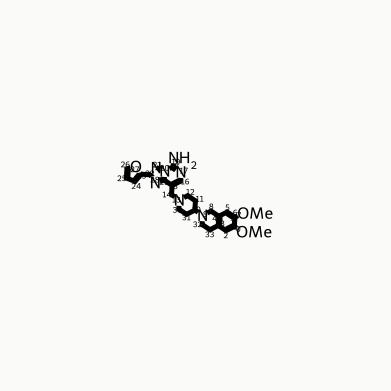 COc1cc2c(cc1OC)CN(C1CCN(Cc3cnc(N)n4nc(-c5ccco5)nc34)CC1)CC2